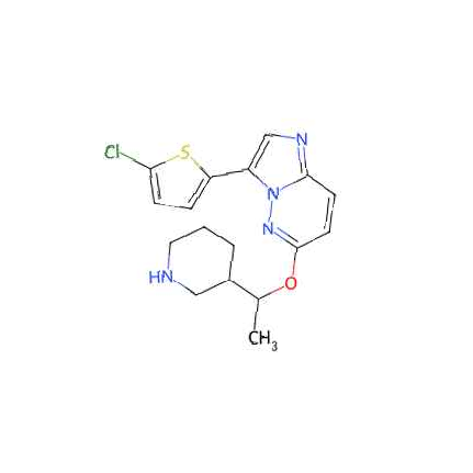 CC(Oc1ccc2ncc(-c3ccc(Cl)s3)n2n1)C1CCCNC1